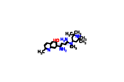 Cc1ccc2cc(O)c(/C(N)=C/C=C(\N)N(C)C3CC(C)(C)NC(C)(C)C3)cc2n1